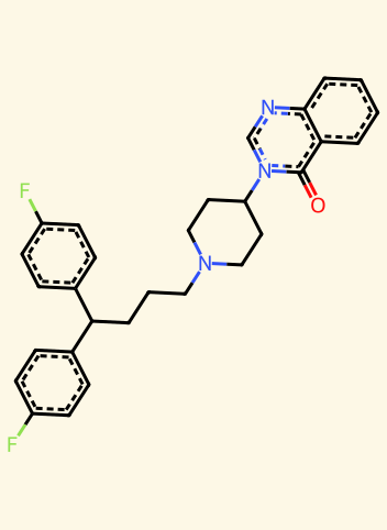 O=c1c2ccccc2ncn1C1CCN(CCCC(c2ccc(F)cc2)c2ccc(F)cc2)CC1